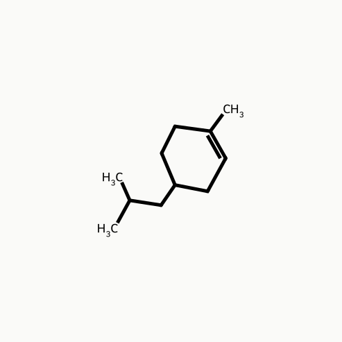 CC1=CCC(CC(C)C)CC1